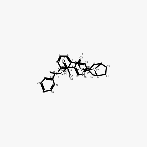 COc1cccc(C(=O)NC2CC3CCC(C2)N3c2ccc(C(=O)NCc3ccccc3)cn2)c1Br